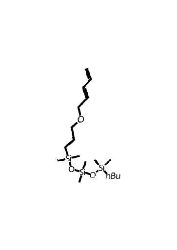 C=CC=CCOCCC[Si](C)(C)O[Si](C)(C)O[Si](C)(C)CCCC